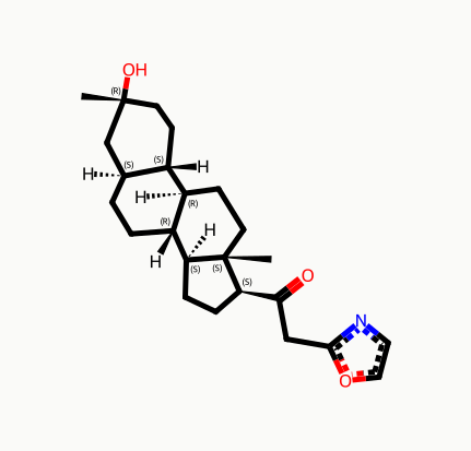 C[C@@]1(O)CC[C@H]2[C@@H](CC[C@@H]3[C@@H]2CC[C@]2(C)[C@@H](C(=O)Cc4ncco4)CC[C@@H]32)C1